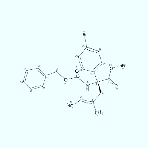 CC(=CC#N)C[C@](NC(=O)OCc1ccccc1)(C(=O)OC(C)C)c1ccc(Br)cc1